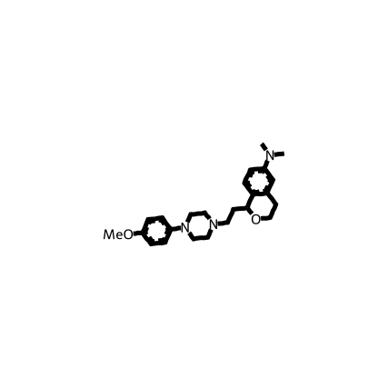 COc1ccc(N2CCN(CCC3OCCc4cc(N(C)C)ccc43)CC2)cc1